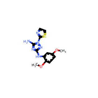 COc1ccc(OC)c(Nc2nc(N)n(-c3nccs3)n2)c1